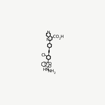 NNC(=O)[C@@H]1CCCCN1C(=O)c1ccc(C#Cc2ccc(-c3cc(C(=O)O)c4cnccc4n3)cc2)c(Cl)c1